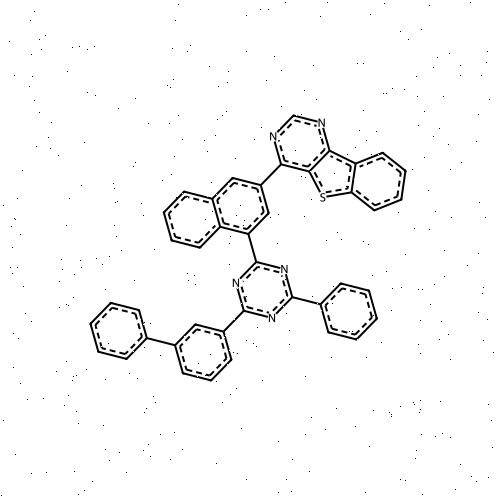 c1ccc(-c2cccc(-c3nc(-c4ccccc4)nc(-c4cc(-c5ncnc6c5sc5ccccc56)cc5ccccc45)n3)c2)cc1